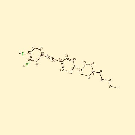 CCCCC[C@H]1CC[C@H](c2ccc(C#Cc3ccc(F)c(F)c3)cc2)CC1